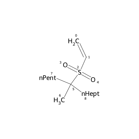 C=CS(=O)(=O)C(C)(CCCCC)CCCCCCC